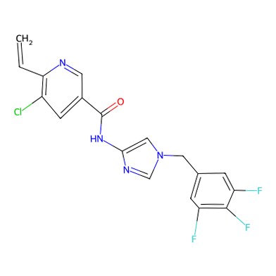 C=Cc1ncc(C(=O)Nc2cn(Cc3cc(F)c(F)c(F)c3)cn2)cc1Cl